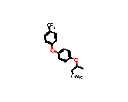 COCC(C)Oc1ccc(Oc2ccc(C(F)(F)F)cc2)cc1